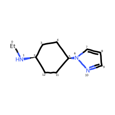 CCN[C@H]1CC[C@@H](n2cccn2)CC1